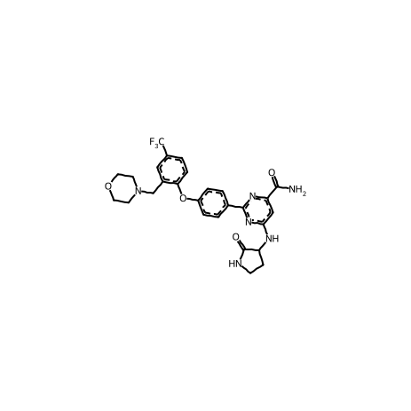 NC(=O)c1cc(NC2CCNC2=O)nc(-c2ccc(Oc3ccc(C(F)(F)F)cc3CN3CCOCC3)cc2)n1